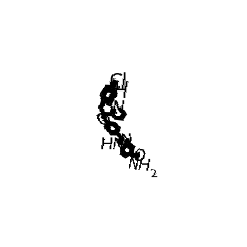 NC(=O)c1ccc2[nH]c(-c3ccc(OC(Cc4ccc(Cl)cc4)C4CCCNC4)cc3)nc2c1